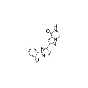 COc1ccccc1-c1nccc(-c2cc3n(n2)CCNC3=O)n1